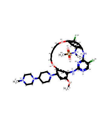 COc1cc(N2CCC(N3CCN(C)CC3)CC2)c2cc1Nc1ncc(Br)c(n1)Nc1cc(F)c(cc1N(C)S(C)(=O)=O)OCCCCO2